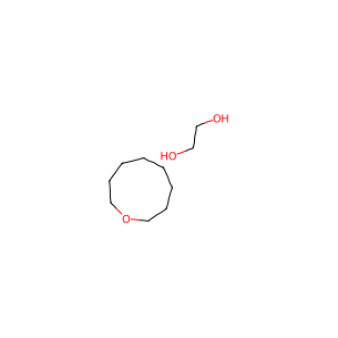 C1CCCCOCCC1.OCCO